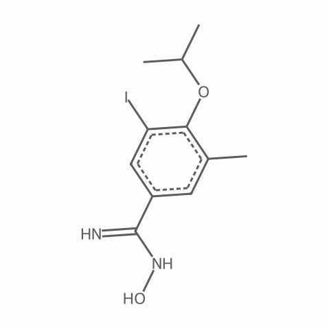 Cc1cc(C(=N)NO)cc(I)c1OC(C)C